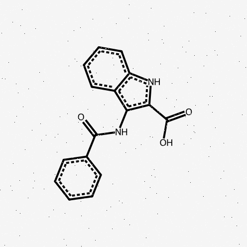 O=C(Nc1c(C(=O)O)[nH]c2ccccc12)c1ccccc1